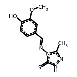 COc1cc(C=Nn2c(C)n[nH]c2=S)ccc1O